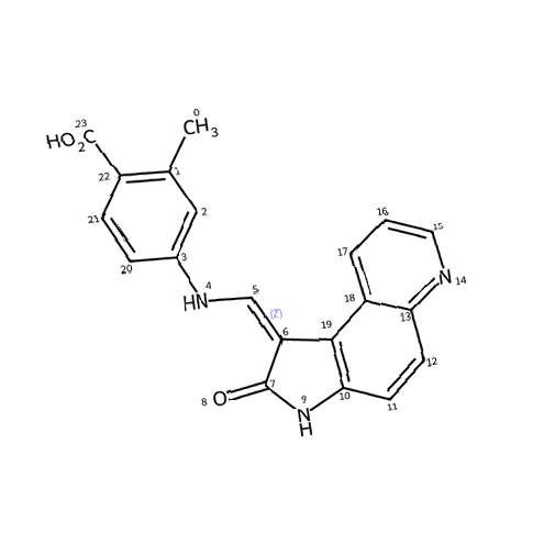 Cc1cc(N/C=C2\C(=O)Nc3ccc4ncccc4c32)ccc1C(=O)O